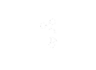 Cc1ccc(-c2ccc(F)cc2)c(C(=O)N2CCC[C@@]2(C)c2nc3cc(C)c(C)cc3n2C)c1